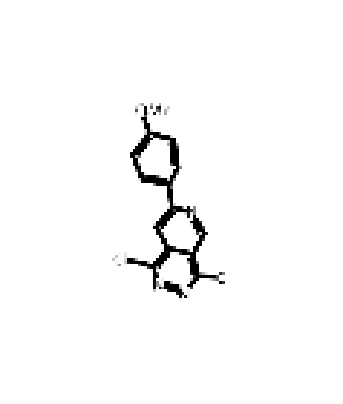 COc1ccc(-c2cc3c(Cl)nnc(Cl)c3cn2)cc1